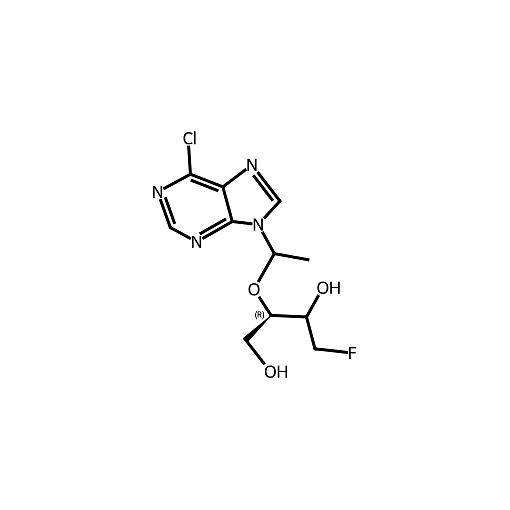 CC(O[C@H](CO)C(O)CF)n1cnc2c(Cl)ncnc21